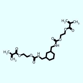 C=C(C)C(=O)OCCOC(=O)NCC1CCCC(CNC(=O)OCCOC(=O)C(=C)C)C1